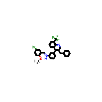 COc1ccc(Br)cc1CNc1cccc(-c2c(Cc3ccccc3)cnc3c(C(F)(F)F)cccc23)c1